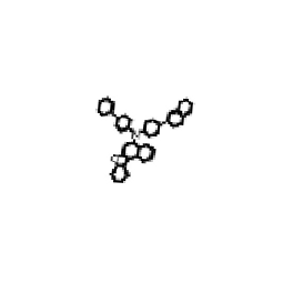 c1ccc(-c2ccc(N(c3ccc(-c4ccc5ccccc5c4)cc3)c3cc4oc5ccccc5c4c4ccccc34)cc2)cc1